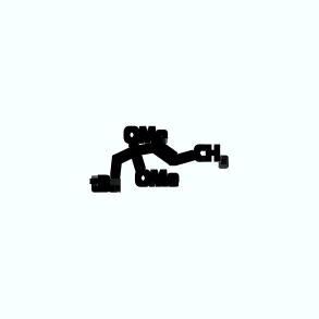 CC=CC(CC(C)(C)C)(OC)OC